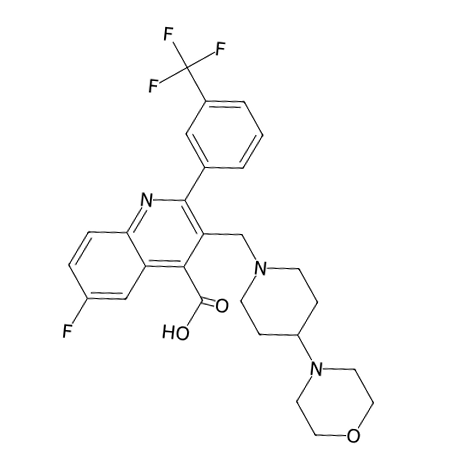 O=C(O)c1c(CN2CCC(N3CCOCC3)CC2)c(-c2cccc(C(F)(F)F)c2)nc2ccc(F)cc12